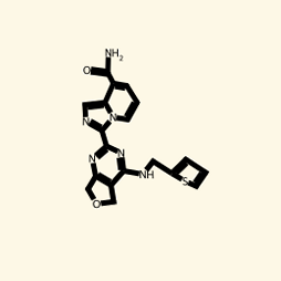 NC(=O)c1cccn2c(-c3nc4c(c(NCc5cccs5)n3)COC4)ncc12